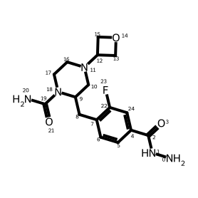 NNC(=O)c1ccc(CC2CN(C3COC3)CCN2C(N)=O)c(F)c1